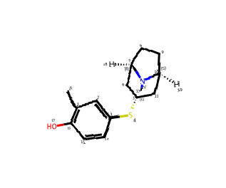 Cc1cc(S[C@@H]2C[C@H]3CC[C@@H](C2)N3C)ccc1O